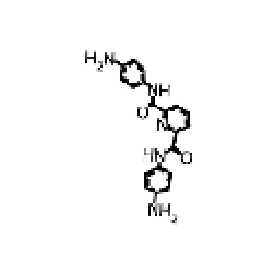 Nc1ccc(NC(=O)c2cccc(C(=O)Nc3ccc(N)cc3)n2)cc1